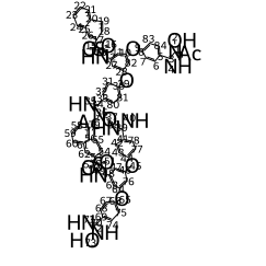 CC(=O)N(O)C(=N)c1ccc(Oc2cc(NS(=O)(=O)c3ccc4ccccc4c3)cc(Oc3ccc(C(=N)N(ONC(=N)c4ccc(Oc5cc(NS(=O)(=O)c6ccc7ccccc7c6)cc(Oc6ccc(C(=N)NO)cc6)c5)cc4)C(C)=O)cc3)c2)cc1